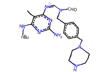 CCCCNc1nc(N)nc(/N=C\N(C=O)Cc2ccc(CN3CCNCC3)cc2)c1C